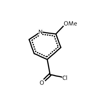 COc1cc(C(=O)Cl)ccn1